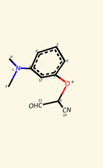 CN(C)c1cccc(OC(C#N)C=O)c1